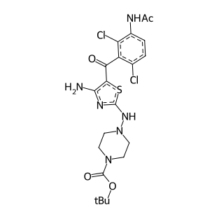 CC(=O)Nc1ccc(Cl)c(C(=O)c2sc(NN3CCN(C(=O)OC(C)(C)C)CC3)nc2N)c1Cl